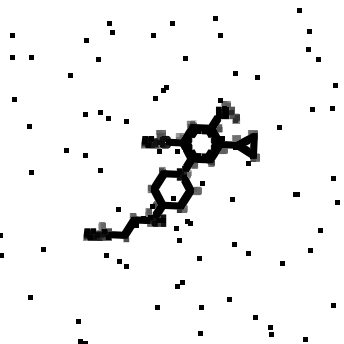 CNCCNC1CCN(c2cc(C3CC3)c(N)cc2OC)CC1